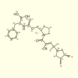 CC(C)(C=C(C#N)C(=O)N1CCC[C@]1(C)COC(=O)NC(Cc1ccccc1)B(O)O)N1C[C@@H](F)[C@@H](F)C1